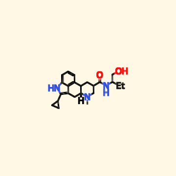 CCC(CO)NC(=O)C1CC2c3cccc4[nH]c(C5CC5)c(c34)C[C@H]2N(C)C1